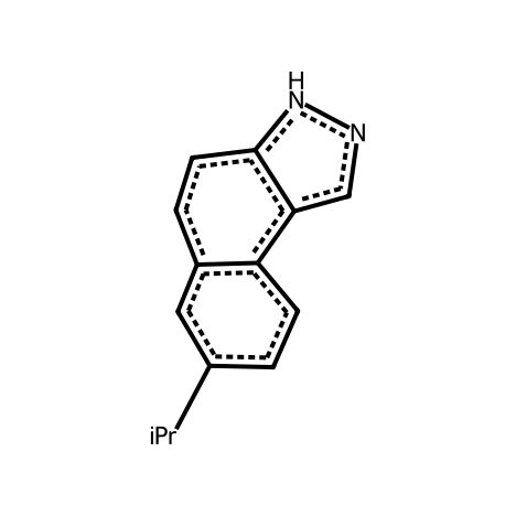 CC(C)c1ccc2c(ccc3[nH]ncc32)c1